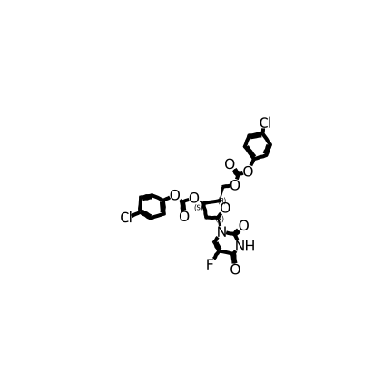 O=C(OC[C@H]1O[C@@H](n2cc(F)c(=O)[nH]c2=O)C[C@@H]1OC(=O)Oc1ccc(Cl)cc1)Oc1ccc(Cl)cc1